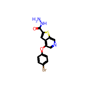 NNC(=O)c1cc2c(Oc3ccc(Br)cc3)cncc2s1